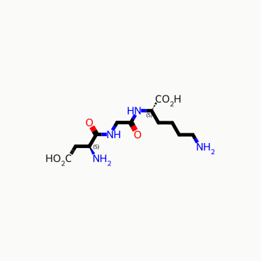 NCCCC[C@H](NC(=O)CNC(=O)[C@@H](N)CC(=O)O)C(=O)O